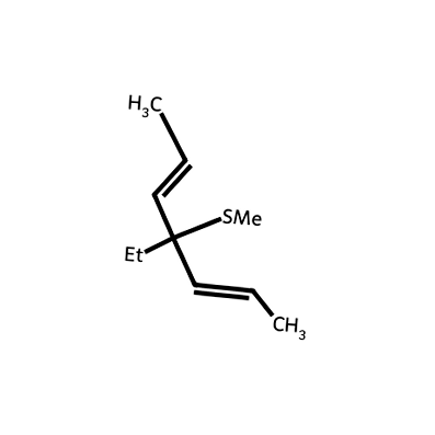 CC=CC(C=CC)(CC)SC